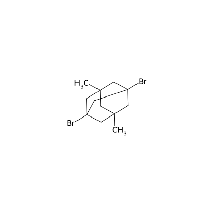 CC12CC3(C)CC(Br)(C1)CC(Br)(C2)C3